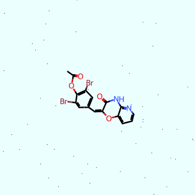 CC(=O)Oc1c(Br)cc(C=C2Oc3cccnc3NC2=O)cc1Br